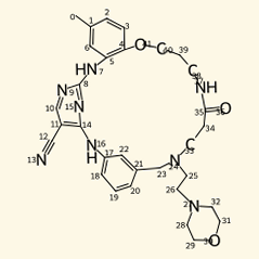 Cc1ccc2c(c1)Nc1ncc(C#N)c(n1)Nc1cccc(c1)CN(CCN1CCOCC1)CCC(=O)NCCCO2